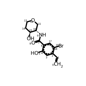 C=Cc1cc(O)c(C(=O)N[C@H]2COCC[C@@H]2O)cc1Br